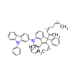 C=CC1=C(/C=C\C)C(C(=C)/C=C\C/C=C\C)(c2ccccc2)c2cccc(N(c3ccccc3)c3ccc4c5ccccc5n(-c5ccccc5)c4c3)c21